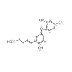 O=C(O)CCC=Cc1cc(Oc2ncc(C(F)(F)F)cc2Cl)ccc1O